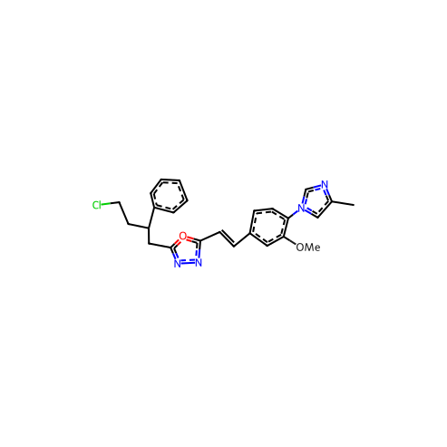 COc1cc(C=Cc2nnc(CC(CCCl)c3ccccc3)o2)ccc1-n1cnc(C)c1